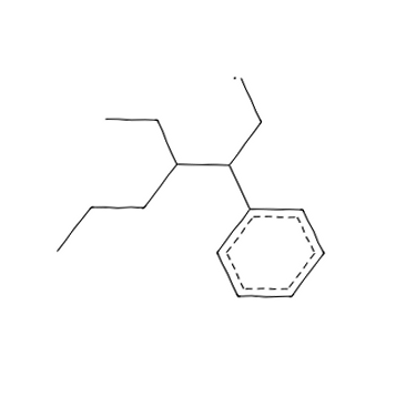 [CH2]CC(c1ccccc1)C(CC)CCC